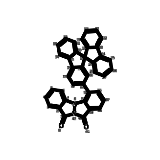 O=c1c2ccccc2n2c3c(-c4ccc5c(c4)C4(c6ccccc6-c6ccccc64)c4ccccc4-5)cccc3c(=O)n12